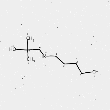 CCCCCNCC(C)(C)O